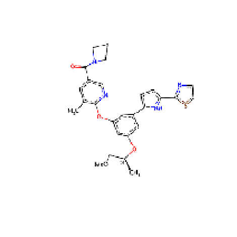 COC[C@H](C)Oc1cc(Oc2ncc(C(=O)N3CCC3)cc2C)cc(-c2ccc(-c3nccs3)[nH]2)c1